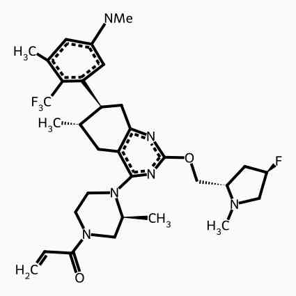 C=CC(=O)N1CCN(c2nc(OC[C@@H]3C[C@@H](F)CN3C)nc3c2C[C@H](C)[C@@H](c2cc(NC)cc(C)c2C(F)(F)F)C3)[C@@H](C)C1